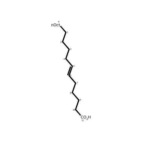 CCCCCCCCCCCCC=CCCCCC(=O)O